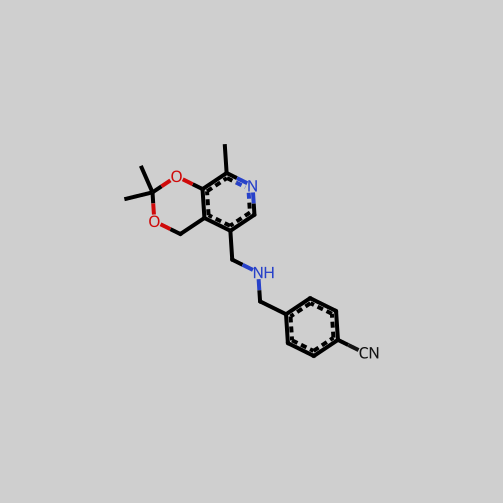 Cc1ncc(CNCc2ccc(C#N)cc2)c2c1OC(C)(C)OC2